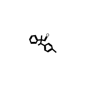 Cc1ccc(C(C)C(C)(C=O)c2ccccc2)cc1